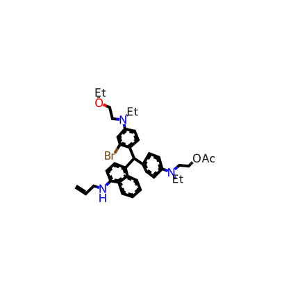 C=CCNc1ccc(C(c2ccc(N(CC)CCOC(C)=O)cc2)c2ccc(N(CC)CCOCC)cc2Br)c2ccccc12